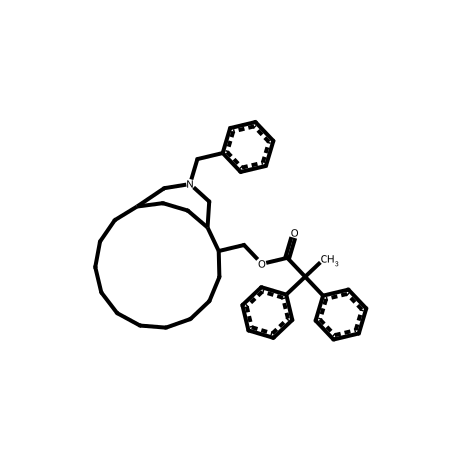 CC(C(=O)OCC1CCCCCCCCCCC2CCC1CN(Cc1ccccc1)C2)(c1ccccc1)c1ccccc1